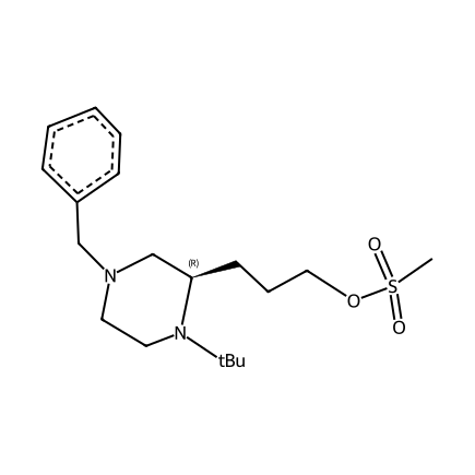 CC(C)(C)N1CCN(Cc2ccccc2)C[C@H]1CCCOS(C)(=O)=O